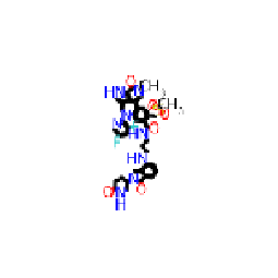 Cn1cc2c3c(c[nH]c3c1=O)CN(c1ncc(F)cc1F)c1cc(C(=O)NCCCNc3cccc4c3CN(C3CCC(=O)NC3)C4=O)c(CS(C)(=O)=O)cc1-2